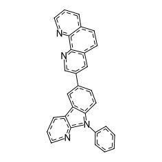 c1ccc(-n2c3ccc(-c4cnc5c(ccc6cccnc65)c4)cc3c3cccnc32)cc1